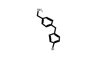 NCc1c[c]c(Cc2ccc(Br)cc2)cc1